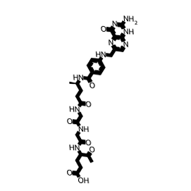 CC(=O)C(CCC(=O)O)NC(=O)CNC(=O)CNC(=O)CC[C@@H](C)NC(=O)c1ccc(NCc2cnc3[nH]c(N)nc(=O)c3n2)cc1